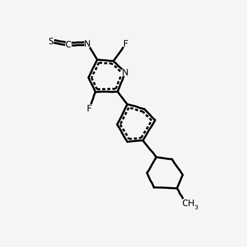 CC1CCC(c2ccc(-c3nc(F)c(N=C=S)cc3F)cc2)CC1